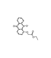 CCOC(=O)COc1cccc2c1[n+]([O-])c1ccccc1[n+]2[O-]